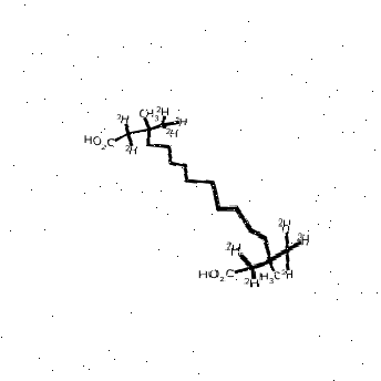 [2H]C([2H])([2H])C(C)(CCCCCCCCCCC(C)(C([2H])([2H])[2H])C([2H])([2H])C(=O)O)C([2H])([2H])C(=O)O